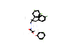 CC(C)(Oc1cc(F)cc(F)c1)C(=O)NCC(C)(Cc1ccc(Cl)cc1)c1cc(F)cc(F)c1